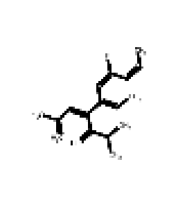 C=C(C)/C=C(C(=C)C(C)C)/C(/C=C(F)\C=C/C)=C/C